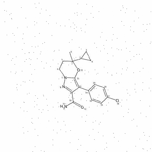 CC1(C2CC2)CCn2nc(C(N)=O)c(-c3ccc(Cl)cc3)c2O1